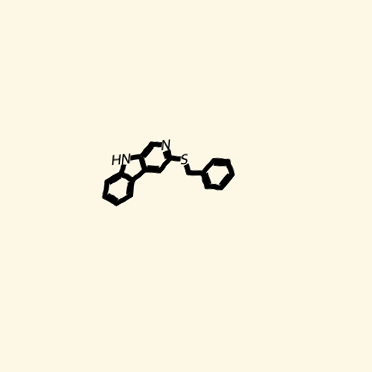 c1ccc(CSc2cc3c(cn2)[nH]c2ccccc23)cc1